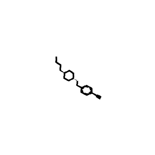 C#Cc1ccc(CC[C@H]2CC[C@H](CCCC)CC2)cc1